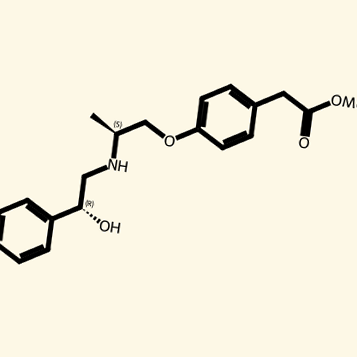 COC(=O)Cc1ccc(OC[C@H](C)NC[C@H](O)c2ccccc2)cc1